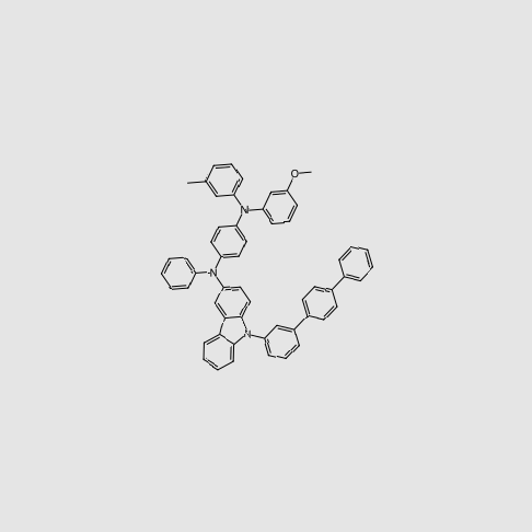 COc1cccc(N(c2ccc(N(c3ccccc3)c3ccc4c(c3)c3ccccc3n4-c3cccc(-c4ccc(-c5ccccc5)cc4)c3)cc2)c2cccc(C)c2)c1